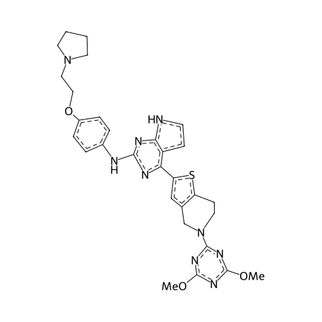 COc1nc(OC)nc(N2CCc3sc(-c4nc(Nc5ccc(OCCN6CCCC6)cc5)nc5[nH]ccc45)cc3C2)n1